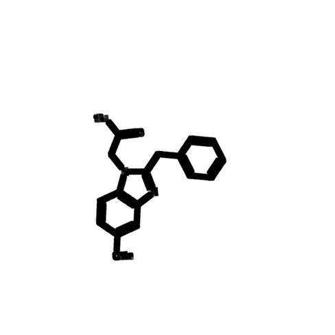 COc1ccc2c(c1)nc(Cc1ccccc1)n2CC(=O)C(C)(C)C